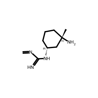 C=NC(=N)N[C@@H]1CCC[C@](C)(N)C1